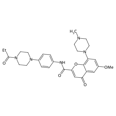 CCC(=O)N1CCN(c2ccc(NC(=O)c3cc(=O)c4cc(OC)cc(N5CCN(C)CC5)c4o3)cc2)CC1